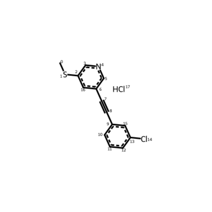 CSc1cncc(C#Cc2cccc(Cl)c2)c1.Cl